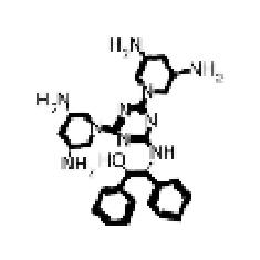 N[C@@H]1C[C@H](N)CN(c2nc(N[C@H](c3ccccc3)[C@@H](O)c3ccccc3)nc(N3C[C@H](N)C[C@H](N)C3)n2)C1